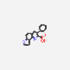 O=C(O)c1nc2c(ccc3ncccc32)cc1-c1ccccc1